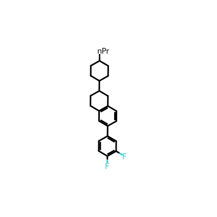 CCCC1CCC(C2CCc3cc(-c4ccc(F)c(F)c4)ccc3C2)CC1